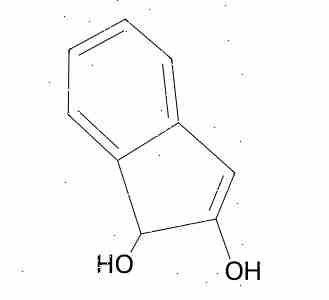 OC1=Cc2ccccc2C1O